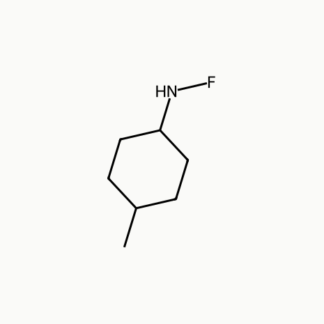 CC1CCC(NF)CC1